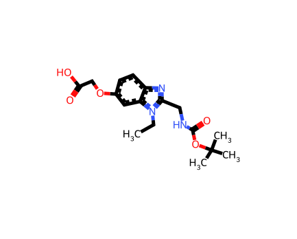 CCn1c(CNC(=O)OC(C)(C)C)nc2ccc(OCC(=O)O)cc21